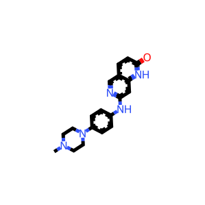 CN1CCN(c2ccc(Nc3cc4[nH]c(=O)ccc4cn3)cc2)CC1